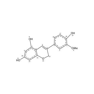 COc1cc(C2=Cc3c(O)cc(O)cc3OC2)ccc1O